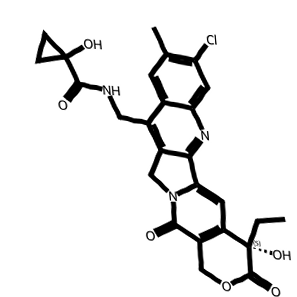 CC[C@@]1(O)C(=O)OCc2c1cc1n(c2=O)Cc2c-1nc1cc(Cl)c(C)cc1c2CNC(=O)C1(O)CC1